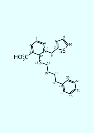 O=C(O)C1=CC=CN(Cc2cccs2)C1SCCCCc1ccccc1